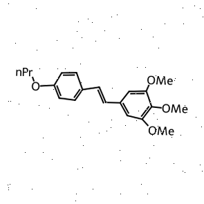 CCCOc1ccc(C=Cc2cc(OC)c(OC)c(OC)c2)cc1